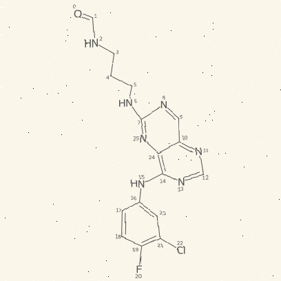 O=CNCCCNc1ncc2ncnc(Nc3ccc(F)c(Cl)c3)c2n1